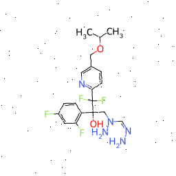 CC(C)OCc1ccc(C(F)(F)C(O)(CN(N)/C=N\N)c2ccc(F)cc2F)nc1